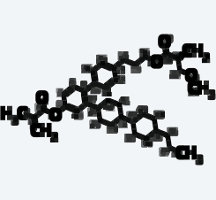 C=C(C)C(=O)Oc1ccc(-c2ccc(CCCOC(=O)C(=C)COC)cc2)c(C2CCC(C3CCC(CCC)CC3)CC2)c1